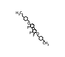 C=CC1CCC(COc2cc3c(c(F)c2F)-c2c-3ccc(OCC3CCC(CCC)CC3)c2F)CC1